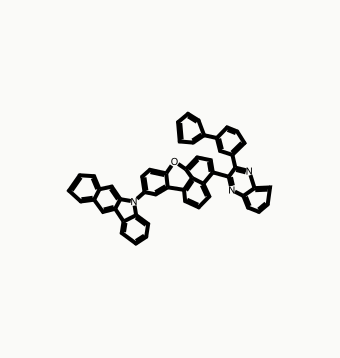 c1ccc(-c2cccc(-c3nc4ccccc4nc3-c3ccc4c5c(cccc35)-c3cc(-n5c6ccccc6c6cc7ccccc7cc65)ccc3O4)c2)cc1